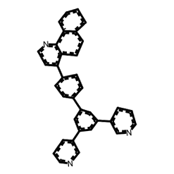 c1cncc(-c2cc(-c3ccc(-c4ccnc5c4ccc4ccccc45)cc3)cc(-c3cccnc3)c2)c1